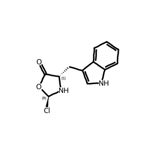 O=C1O[C@H](Cl)N[C@H]1Cc1c[nH]c2ccccc12